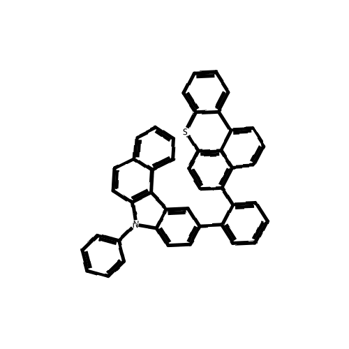 c1ccc(-n2c3ccc(-c4ccccc4-c4ccc5c6c(cccc46)-c4ccccc4S5)cc3c3c4ccccc4ccc32)cc1